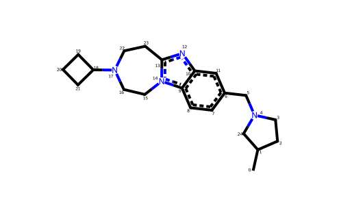 CC1CCN(Cc2ccc3c(c2)nc2n3CCN(C3CCC3)CC2)C1